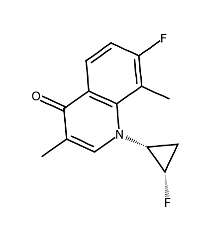 Cc1cn([C@@H]2C[C@@H]2F)c2c(C)c(F)ccc2c1=O